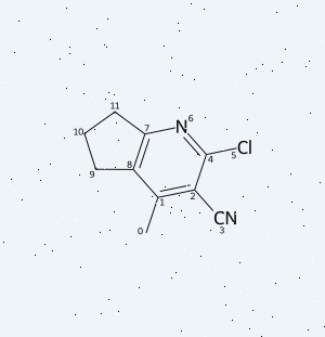 Cc1c(C#N)c(Cl)nc2c1CCC2